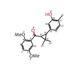 COc1ccc(OC)c(C(=O)C2C(c3ccc(C)c(O)c3)C2(C)C)c1